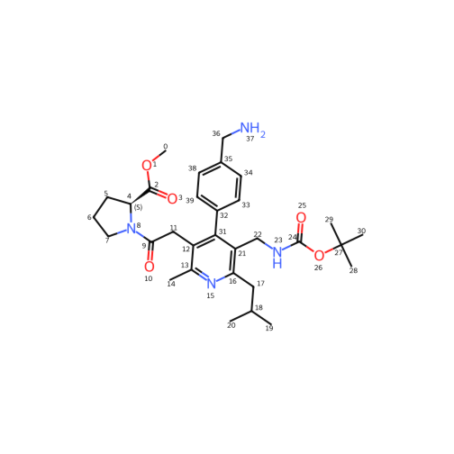 COC(=O)[C@@H]1CCCN1C(=O)Cc1c(C)nc(CC(C)C)c(CNC(=O)OC(C)(C)C)c1-c1ccc(CN)cc1